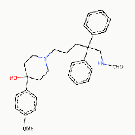 COc1ccc(C2(O)CCN(CCCC(CNC=O)(c3ccccc3)c3ccccc3)CC2)cc1